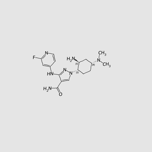 CN(C)[C@@H]1CC[C@H](n2cc(C(N)=O)c(Nc3ccnc(F)c3)n2)[C@@H](N)C1